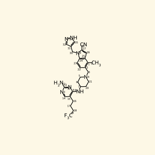 Cc1c(CN2CCC(Nc3nc(N)ncc3CCCC(F)(F)F)CC2)ccc2c1cc(C#N)n2Cc1cn[nH]c1